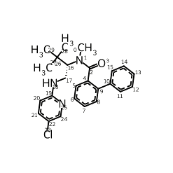 CN(C(=O)c1ccccc1-c1ccccc1)[C@H](CNc1ccc(Cl)cn1)C(C)(C)C